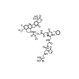 CC[C@@]1(O)C(=O)OCc2c1cc1n(c2=O)Cc2c-1nc1cc(F)c(C)c3c1c2[C@@H](NC(=O)[C@H](OCNC(=O)CNC(=O)[C@H](Cc1ccccc1)NC(=O)CNC(=O)CNC(=O)C(CNCOP(=O)(O)O)N1CC=CC1=O)C1CC1)CC3